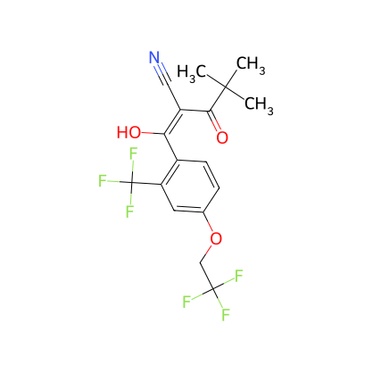 CC(C)(C)C(=O)C(C#N)=C(O)c1ccc(OCC(F)(F)F)cc1C(F)(F)F